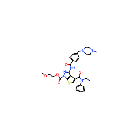 CCN(C(=O)c1csc2c1c(NC(=O)c1ccc(CN3CCN(C)CC3)cc1)nn2C(=O)OCCOC)c1ccccc1